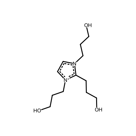 OCCCc1n(CCCO)cc[n+]1CCCO